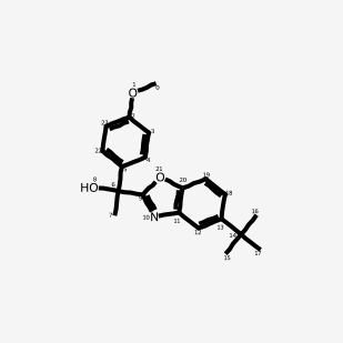 COc1ccc(C(C)(O)c2nc3cc(C(C)(C)C)ccc3o2)cc1